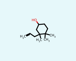 C=CCC1(C)CC(O)CCC1(C)C